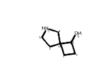 OC1CCC12CCNC2